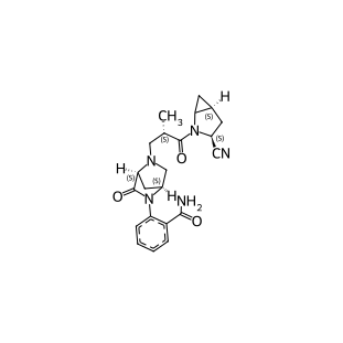 C[C@@H](CN1C[C@@H]2C[C@H]1C(=O)N2c1ccccc1C(N)=O)C(=O)N1C2C[C@H]2C[C@H]1C#N